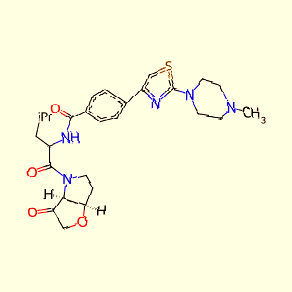 CC(C)CC(NC(=O)c1ccc(-c2csc(N3CCN(C)CC3)n2)cc1)C(=O)N1CC[C@H]2OCC(=O)[C@H]21